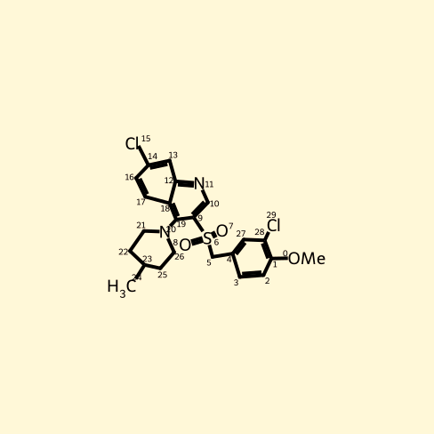 COc1ccc(CS(=O)(=O)c2cnc3cc(Cl)ccc3c2N2CCC(C)CC2)cc1Cl